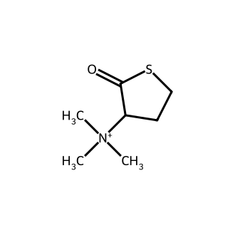 C[N+](C)(C)C1CCSC1=O